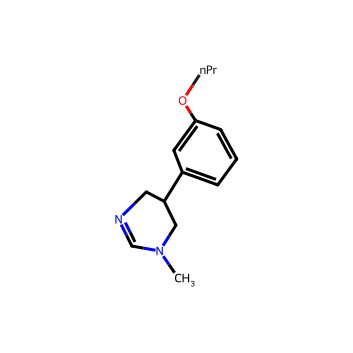 CCCOc1cccc(C2CN=CN(C)C2)c1